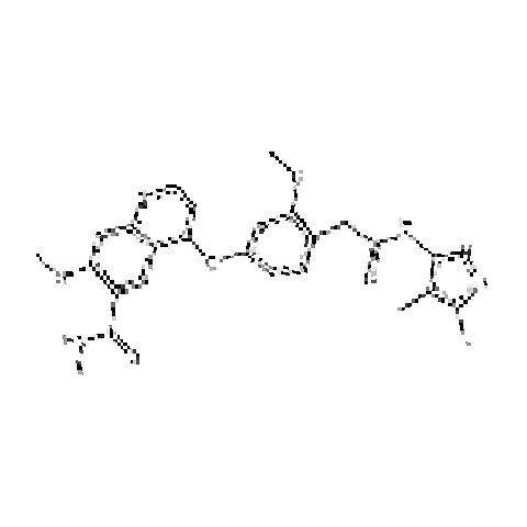 CNC(=O)c1cc2c(Oc3ccc(CC(=O)Nc4noc(C)c4C)c(OC)c3)ccnc2cc1OC